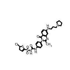 Cc1nc2cc(NCCCN3CCCC3)ccc2c(=O)n1-c1ccc(NC(=O)NS(=O)(=O)C2=CCC(Cl)S2)cc1